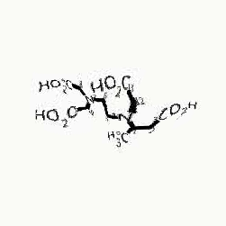 CC(CC(=O)O)N(CCN(CC(=O)O)CC(=O)O)CC(=O)O